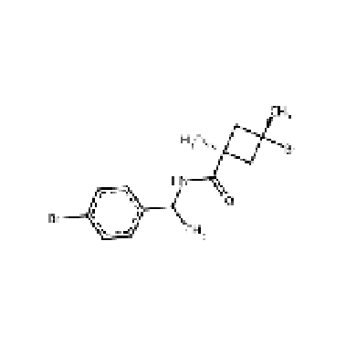 CC(NC(=O)[C@]1(C)C[C@@](C)(Br)C1)c1ccc(Br)cc1